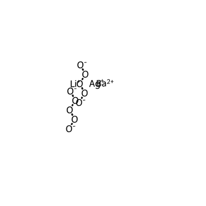 [Ag+].[Ba+2].[Li+].[O-]OOO[O-].[O-]OOO[O-]